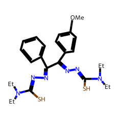 CCN(CC)/C(S)=N/N=C(/C(=N/N=C(\S)N(CC)CC)c1ccc(OC)cc1)c1ccccc1